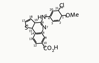 COC1C=CC(NC2=Nc3cc(C(=O)O)ccc3C3SC=CC23)=CC1Cl